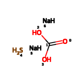 O=C(O)O.S.[NaH].[NaH]